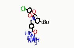 CC(Oc1ccc(Cl)cc1)C(=O)N(Cc1ccc(C(=O)N/C(N=N)=N/N)cc1)C1CCC(C(C)(C)C)CC1